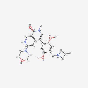 COc1cc(-c2cn(C)c(=O)c3cnc(N4CCOCC4)cc23)c(OC)cc1CN1CC(C)C1